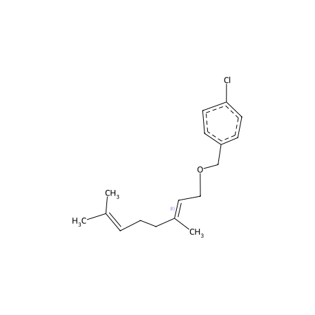 CC(C)=CCC/C(C)=C/COCc1ccc(Cl)cc1